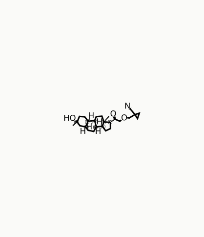 C[C@@]1(O)CC[C@H]2[C@H](CC[C@@H]3[C@@H]2CC[C@]2(C)[C@@H](C(=O)COCC4(C#N)CC4)CC[C@@H]32)C1